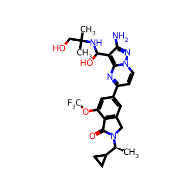 C[C@@H](C1CC1)N1Cc2cc(-c3ccn4nc(N)c(C(O)NC(C)(C)CO)c4n3)cc(OC(F)(F)F)c2C1=O